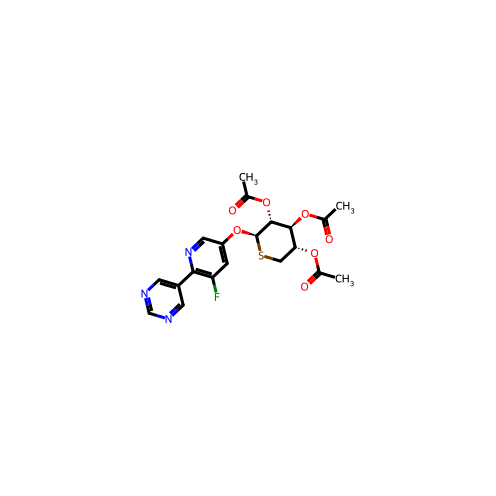 CC(=O)O[C@@H]1[C@@H](OC(C)=O)[C@H](OC(C)=O)CS[C@H]1Oc1cnc(-c2cncnc2)c(F)c1